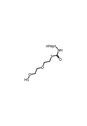 CCCCCCCNC(=O)SCCOCCOS